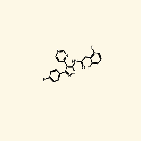 O=C(Cc1c(F)cccc1F)Nc1onc(-c2ccc(F)cc2)c1-c1ccncn1